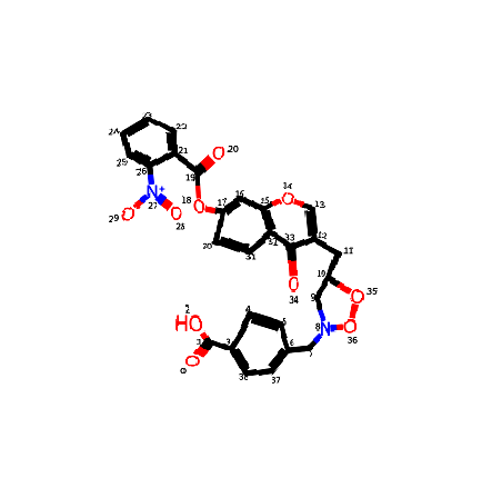 O=C(O)c1ccc(CN2CC(Cc3coc4cc(OC(=O)c5ccccc5[N+](=O)[O-])ccc4c3=O)OO2)cc1